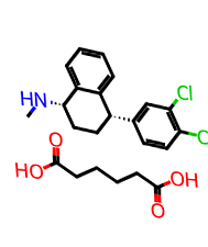 CN[C@H]1CC[C@@H](c2ccc(Cl)c(Cl)c2)c2ccccc21.O=C(O)CCCCC(=O)O